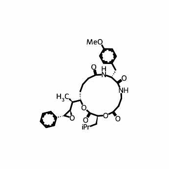 COc1ccc(C[C@H]2NC(=O)CCC[C@@H]([C@H](C)[C@H]3O[C@@H]3c3ccccc3)OC(=O)[C@H](CC(C)C)OC(=O)CCNC2=O)cc1